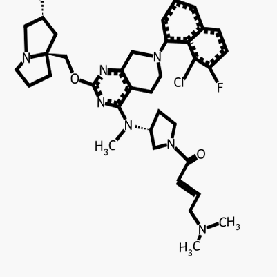 CN(C)C/C=C/C(=O)N1CC[C@@H](N(C)c2nc(OC[C@@]34CCCN3C[C@H](F)C4)nc3c2CCN(c2cccc4ccc(F)c(Cl)c24)C3)C1